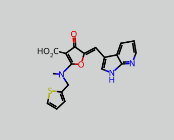 CN(Cc1cccs1)C1=C(C(=O)O)C(=O)C(=Cc2c[nH]c3ncccc23)O1